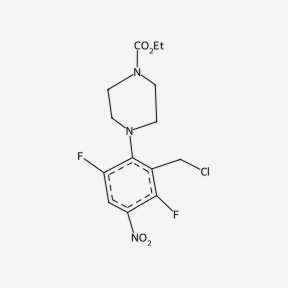 CCOC(=O)N1CCN(c2c(F)cc([N+](=O)[O-])c(F)c2CCl)CC1